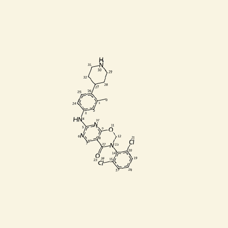 Cc1cc(Nc2ncc3c(n2)OCN(c2c(Cl)cccc2Cl)C3=O)ccc1C1CCNCC1